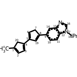 CC1=CC=C(C2=CCC(c3ccc4c(c3)ncn4C(C)C)=C2)C1